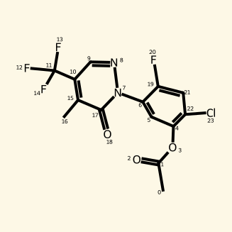 CC(=O)Oc1cc(-n2ncc(C(F)(F)F)c(C)c2=O)c(F)cc1Cl